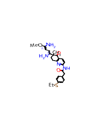 CCSc1ccc(CC(=O)Nc2ccc3c(n2)CCC(C)(/C(N)=C/C=C(\N)OC)C3=O)cc1